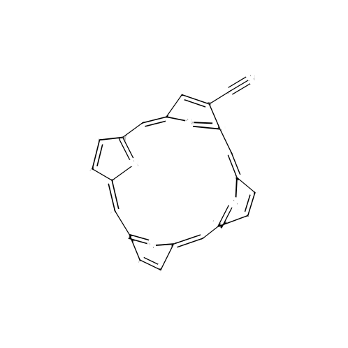 N#CC1=CC2=CC3=NC(=CC4=NC(=CC5=NC(=CC1=N2)C=C5)C=C4)C=C3